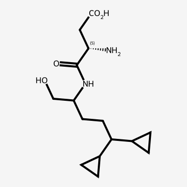 N[C@@H](CC(=O)O)C(=O)NC(CO)CCC(C1CC1)C1CC1